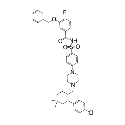 CC1(C)CCC(CN2CCN(c3ccc(S(=O)(=O)NC(=O)c4ccc(F)c(OCc5ccccc5)c4)cc3)CC2)=C(c2ccc(Cl)cc2)C1